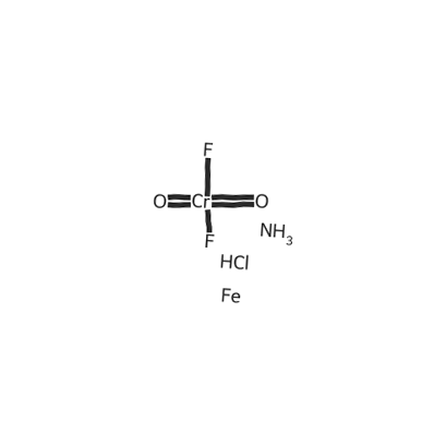 Cl.N.[Fe].[O]=[Cr](=[O])([F])[F]